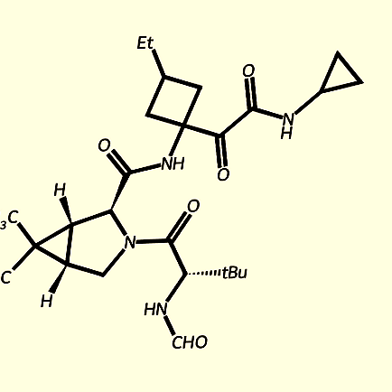 CCC1CC(NC(=O)[C@@H]2[C@@H]3[C@H](CN2C(=O)[C@@H](NC=O)C(C)(C)C)C3(C)C)(C(=O)C(=O)NC2CC2)C1